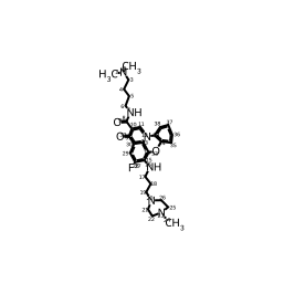 CN(C)CCCCNC(=O)c1cn2c3c(c(NCCCN4CCN(C)CC4)c(F)cc3c1=O)Oc1ccccc1-2